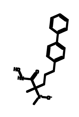 C[S+]([O-])C(C)(CCCc1ccc(-c2ccccc2)cc1)C(=O)NO